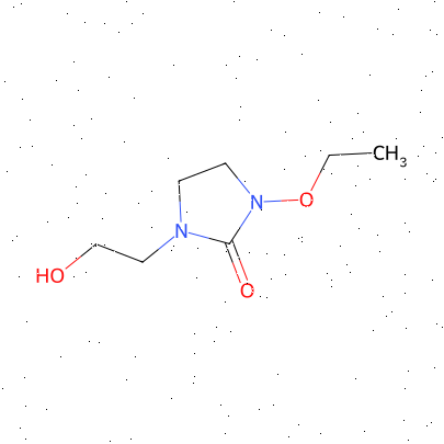 CCON1CCN(CCO)C1=O